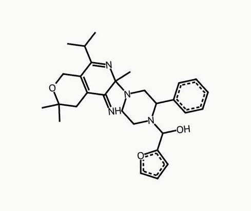 CC(C)C1=NC(C)(N2CCN(C(O)c3ccco3)C(c3ccccc3)C2)C(=N)C2=C1COC(C)(C)C2